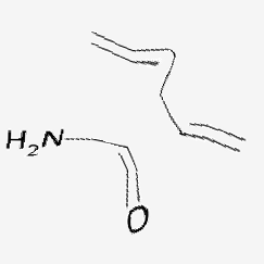 C=CC=C.NC=O